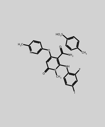 Cc1ccc(Oc2cc(=O)n(C)c(Nc3ccc(I)cc3F)c2C(N)=O)cn1.Cc1ccc(S(=O)(=O)O)cc1